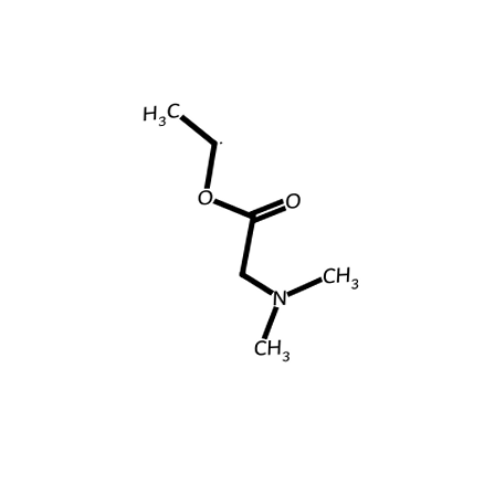 C[CH]OC(=O)CN(C)C